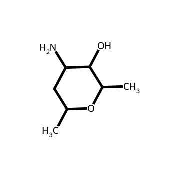 CC1CC(N)C(O)C(C)O1